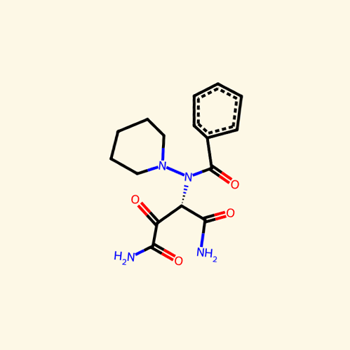 NC(=O)C(=O)[C@@H](C(N)=O)N(C(=O)c1ccccc1)N1CCCCC1